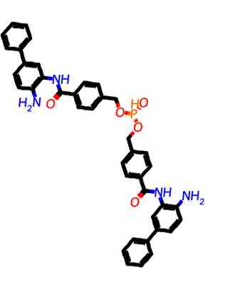 Nc1ccc(-c2ccccc2)cc1NC(=O)c1ccc(CO[PH](=O)OCc2ccc(C(=O)Nc3cc(-c4ccccc4)ccc3N)cc2)cc1